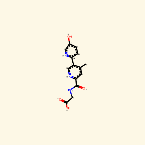 Cc1cc(C(=O)NCC(=O)O)ncc1-c1ccc(O)cn1